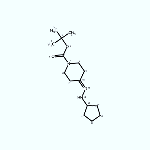 CC(C)(C)OC(=O)N1CCC(=NNC2CCCC2)CC1